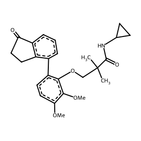 COc1ccc(-c2cccc3c2CCC3=O)c(OCC(C)(C)C(=O)NC2CC2)c1OC